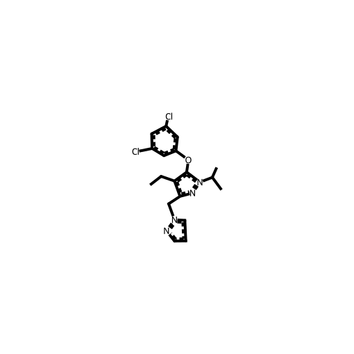 CCc1c(Cn2cccn2)nn(C(C)C)c1Oc1cc(Cl)cc(Cl)c1